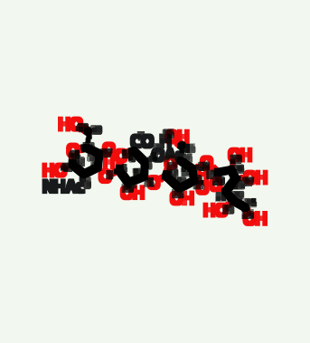 CC(=O)N[C@@H]1[C@@H](O[C@H]2O[C@H](C(=O)O)[C@H](OC(C)=O)[C@H](O[C@H]3O[C@H](CO)[C@H](O[C@@H]4O[C@@H]([C@H](O)CO)[C@H](O)[C@H]4O)[C@H](O)[C@H]3O)[C@H]2O)[C@@H](O)[C@@H](CO)O[C@H]1O